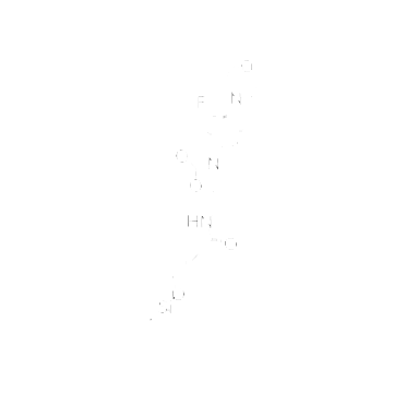 CC(C)(C)[Si](C)(C)OCC#CC(=O)NC[C@H]1CN(c2ccc(N3CCOCC3)c(F)c2)C(=O)O1